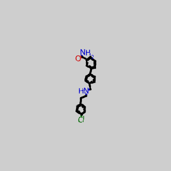 NC(=O)c1cccc(-c2ccc(CNCCc3ccc(Cl)cc3)cc2)c1